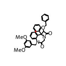 COc1cc(CN2C(=O)CN3C(=O)C(OCc4ccccc4)C3(c3ccccc3)c3ccccc32)cc(OC)c1